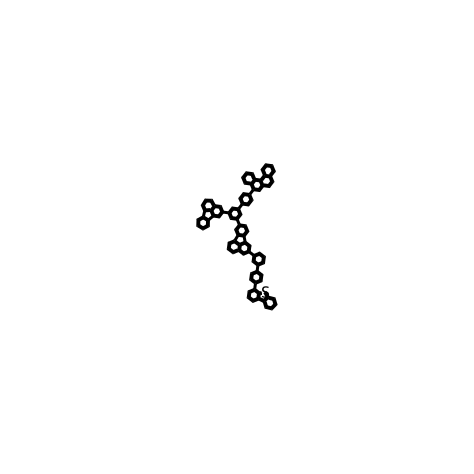 c1cc(-c2ccc(-c3cccc4c3sc3ccccc34)cc2)cc(-c2cc3c4c(cccc4c2)-c2cc(-c4cc(-c5ccc(-c6cc7ccc8ccccc8c7c7ccccc67)cc5)cc(-c5cc6c7c(cccc7c5)-c5ccccc5-6)c4)ccc2-3)c1